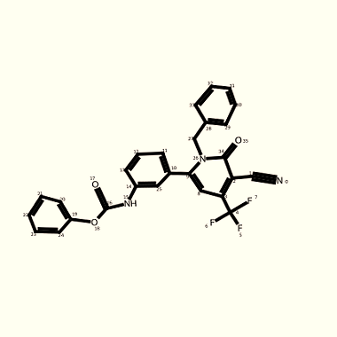 N#Cc1c(C(F)(F)F)cc(-c2cccc(NC(=O)Oc3ccccc3)c2)n(Cc2ccccc2)c1=O